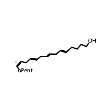 CCCCC/C=C\CC=CCC=CCC=CCCCCO